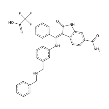 NC(=O)c1ccc2c(c1)NC(=O)C2=C(Nc1cccc(CNCc2ccccc2)c1)c1ccccc1.O=C(O)C(F)(F)F